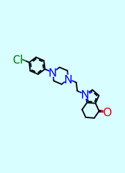 O=C1CCCc2c1ccn2CCN1CCN(c2ccc(Cl)cc2)CC1